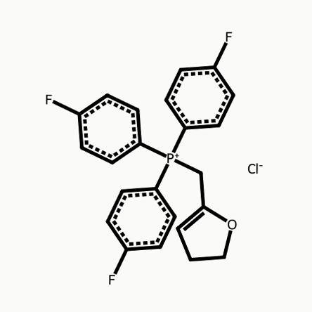 Fc1ccc([P+](CC2=CCCO2)(c2ccc(F)cc2)c2ccc(F)cc2)cc1.[Cl-]